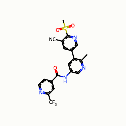 Cc1ncc(NC(=O)c2ccnc(C(F)(F)F)c2)cc1-c1cnc(S(C)(=O)=O)c(C#N)c1